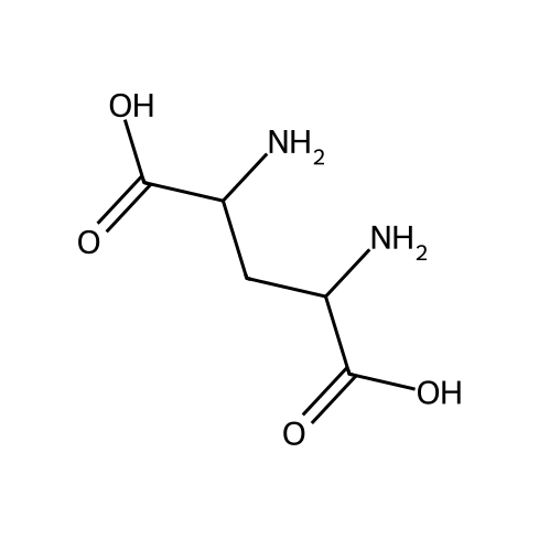 NC(CC(N)C(=O)O)C(=O)O